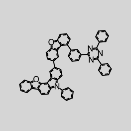 c1ccc(-c2nc(-c3ccccc3)nc(-c3cccc(-c4cccc5oc6ccc(-c7ccc8c(c7)c7c9oc%10ccccc%10c9ccc7n8-c7ccccc7)cc6c45)c3)n2)cc1